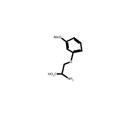 COc1cccc(OCC(N)C(=O)O)c1